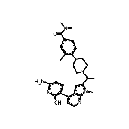 Cc1cc(C(=O)N(C)C)ccc1C1CCN(C(C)c2cc3c(-c4ccc(N)nc4C#N)ccnc3n2C)CC1